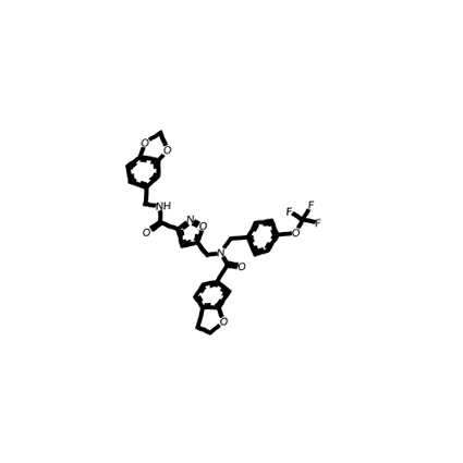 O=C(NCc1ccc2c(c1)OCO2)c1cc(CN(Cc2ccc(OC(F)(F)F)cc2)C(=O)c2ccc3c(c2)OCC3)on1